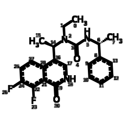 CCN(C(=O)N[C@H](C)c1ccccc1)[C@H](C)c1c[nH]c(=O)c2c(F)c(F)ccc12